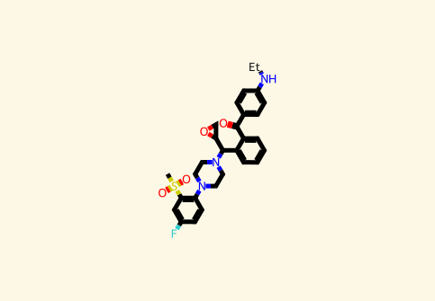 CCNc1ccc(C(=O)c2ccccc2C(C2CO2)N2CCN(c3ccc(F)cc3S(C)(=O)=O)CC2)cc1